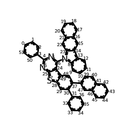 c1ccc(-c2nc(-n3c4ccccc4c4cc5ccccc5cc43)c3c(n2)sc2cc(-c4ccccc4)c(-c4ccc5ccccc5c4)cc23)cc1